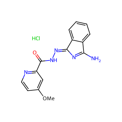 COc1ccnc(C(=O)N/N=C2\N=C(N)c3ccccc32)c1.Cl